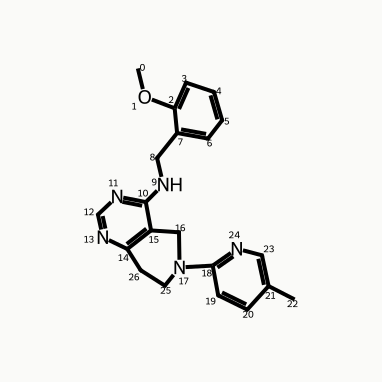 COc1ccccc1CNc1ncnc2c1CN(c1ccc(C)cn1)CC2